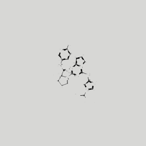 CC(C)n1cnc(Nc2nc(N3CCC[C@@]3(C)C(=O)Nc3ccc(F)nc3)nc3cccn23)c1